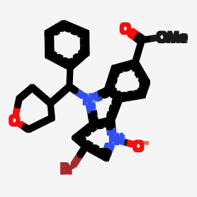 COC(=O)c1ccc2c(c1)n(C(c1ccccc1)C1CCOCC1)c1cc(Br)c[n+]([O-])c21